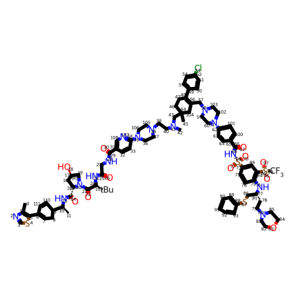 Cc1ncsc1C1=CCC([C@H](C)NC(=O)[C@@H]2C[C@@H](O)CN2C(=O)[C@@H](NC(=O)CNC(=O)c2ccc(N3CCN(CCN(C)CC4(C)CCC(c5ccc(Cl)cc5)=C(CN5CCN(c6ccc(C(=O)NS(=O)(=O)c7ccc(N[C@H](CCN8CCOCC8)CSc8ccccc8)c(S(=O)(=O)C(F)(F)F)c7)cc6)CC5)C4)CC3)nc2)C(C)(C)C)C=C1